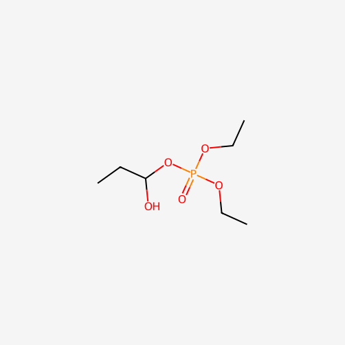 CCOP(=O)(OCC)OC(O)CC